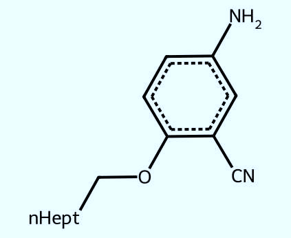 CCCCCCCCOc1ccc(N)cc1C#N